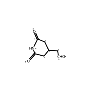 O=[C]CC1CC(=O)NC(=O)C1